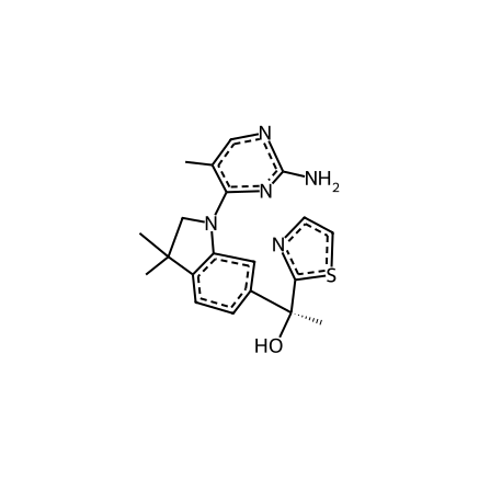 Cc1cnc(N)nc1N1CC(C)(C)c2ccc([C@](C)(O)c3nccs3)cc21